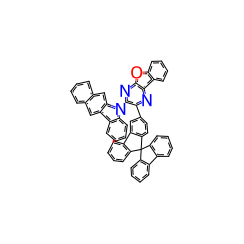 c1ccc2c(c1)-c1ccccc1C21c2ccccc2-c2cc(-c3nc4c(nc3-n3c5ccccc5c5cc6ccccc6cc53)oc3ccccc34)ccc21